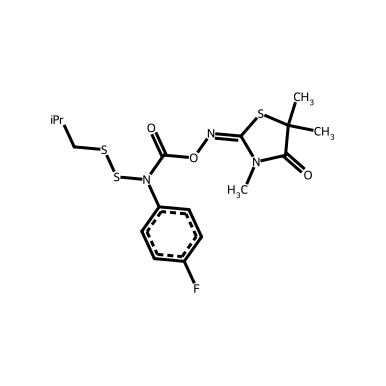 CC(C)CSSN(C(=O)ON=C1SC(C)(C)C(=O)N1C)c1ccc(F)cc1